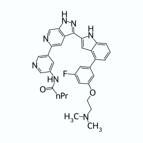 CCCC(=O)Nc1cncc(-c2cc3c(-c4cc5c(-c6cc(F)cc(OCCN(C)C)c6)cccc5[nH]4)n[nH]c3cn2)c1